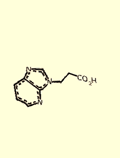 O=C(O)CCn1cnc2cccnc21